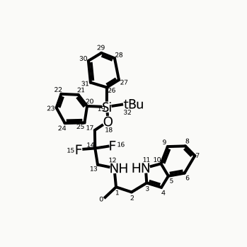 CC(Cc1cc2ccccc2[nH]1)NCC(F)(F)CO[Si](c1ccccc1)(c1ccccc1)C(C)(C)C